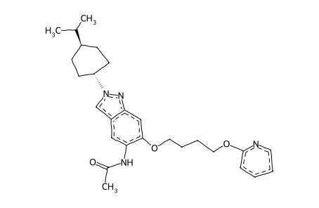 CC(=O)Nc1cc2cn([C@H]3CC[C@H](C(C)C)CC3)nc2cc1OCCCCOc1ccccn1